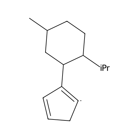 CC1CCC(C(C)C)C(C2=[C]CC=C2)C1